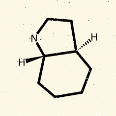 C1CC[C@@H]2[N]CC[C@H]2C1